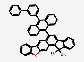 CC1(C)c2ccccc2-c2cc(-c3c4c(c(-c5cccc(-c6ccccc6)c5)c5ccccc35)=CCCC=4)c3cc4c(cc3c21)oc1ccccc14